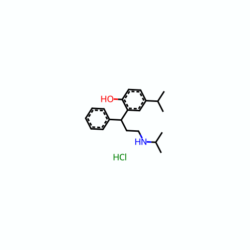 CC(C)NCCC(c1ccccc1)c1cc(C(C)C)ccc1O.Cl